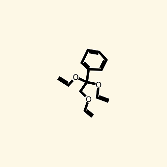 C=COCC(OC=C)(OC=C)c1ccccc1